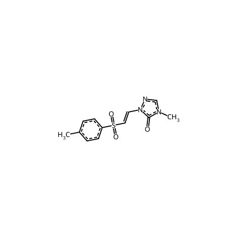 Cc1ccc(S(=O)(=O)C=Cn2ncn(C)c2=O)cc1